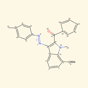 COc1cccc2c(/N=N/c3ccc(C)cc3)c(C(=O)c3ccccc3)n(C)c12